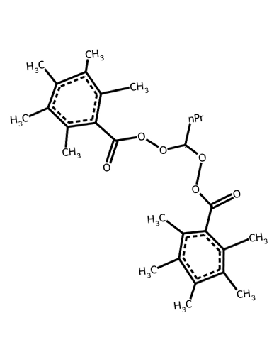 [CH2]CC[C](OOC(=O)c1c(C)c(C)c(C)c(C)c1C)OOC(=O)c1c(C)c(C)c(C)c(C)c1C